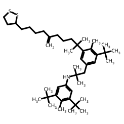 C=C(CCCCC1CCSS1)CCCC(C)(C)c1cc(CC(C)(C)Nc2cc(C(C)(C)C)c(C)c(C(C)(C)C)c2)cc(C(C)(C)C)c1C